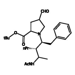 CCC[C@@H](C(C)NC(C)=O)[C@H](Cc1ccccc1)N1CC(C=O)CC1C(=O)OC(C)(C)C